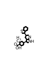 Cc1cc(-c2c[nH]c3ncc(-c4csc5ccccc45)cc23)ccc1C(=O)O